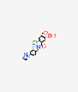 O=C(NCc1ccc(-n2cccn2)cc1)c1cc2c(cc1Cl)COB2O